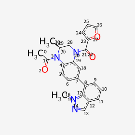 CC(=O)N1c2ccc(-c3cccc4cnn(C)c34)cc2N(C(=O)c2ccco2)C[C@@H]1C